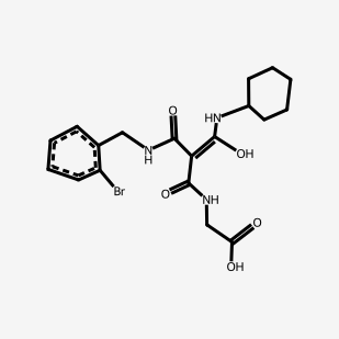 O=C(O)CNC(=O)/C(C(=O)NCc1ccccc1Br)=C(\O)NC1CCCCC1